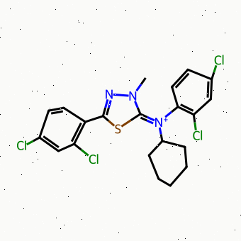 Cn1nc(-c2ccc(Cl)cc2Cl)sc1=[N+](c1ccc(Cl)cc1Cl)C1CCCCC1